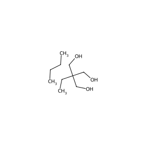 CCC(CO)(CO)CO.CCCC